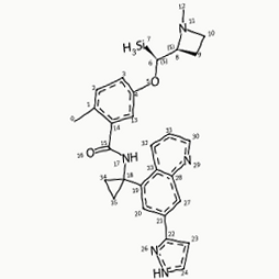 Cc1ccc(O[C@@H]([SiH3])[C@@H]2CCN2C)cc1C(=O)NC1(c2cc(-c3cc[nH]n3)cc3ncccc23)CC1